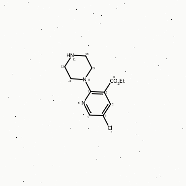 CCOC(=O)c1cc(Cl)cnc1N1CCNCC1